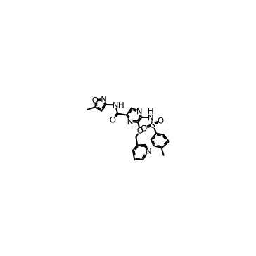 Cc1ccc(S(=O)(=O)Nc2ncc(C(=O)Nc3cc(C)on3)nc2OCc2cccnc2)cc1